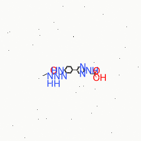 CCNC(=O)Nc1nc2cc(-c3cnc(NCC(=O)O)nc3)ccc2[nH]1